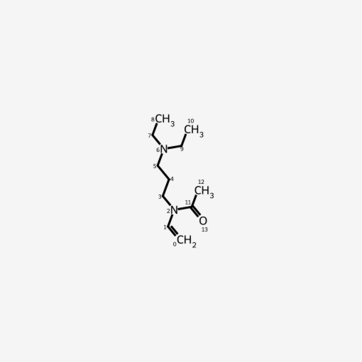 C=CN(CCCN(CC)CC)C(C)=O